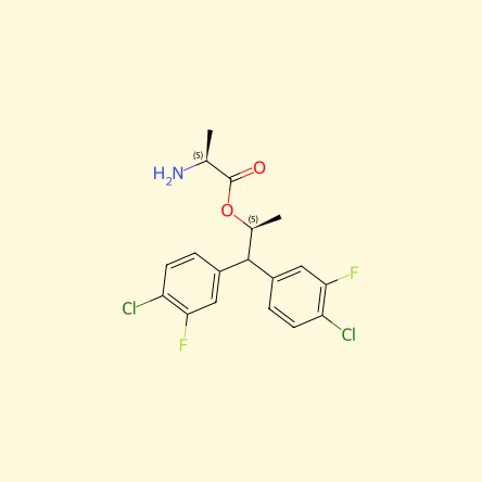 C[C@H](N)C(=O)O[C@@H](C)C(c1ccc(Cl)c(F)c1)c1ccc(Cl)c(F)c1